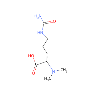 CN(C)[C@@H](CCCNC(N)=O)C(=O)O